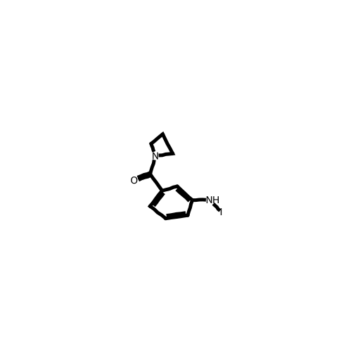 O=C(c1cccc(NI)c1)N1CCC1